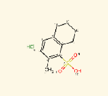 Cc1ccc2c(c1S(=O)(=O)O)CCCC2.Cl